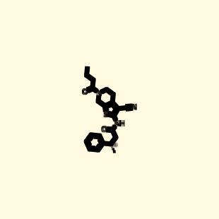 CCCC(=O)N1CCc2c(sc(NC(=O)C[C@H](C)c3ccccc3)c2C#N)C1